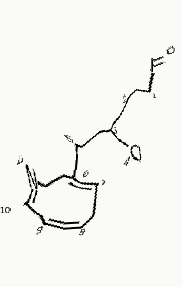 FCCC(Cl)Cc1ccccn1